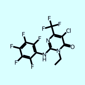 CCn1c(Nc2c(F)c(F)c(F)c(F)c2F)nc(C(F)(F)F)c(Cl)c1=O